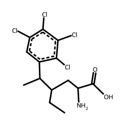 CCC(CC(N)C(=O)O)C(C)c1cc(Cl)c(Cl)c(Cl)c1Cl